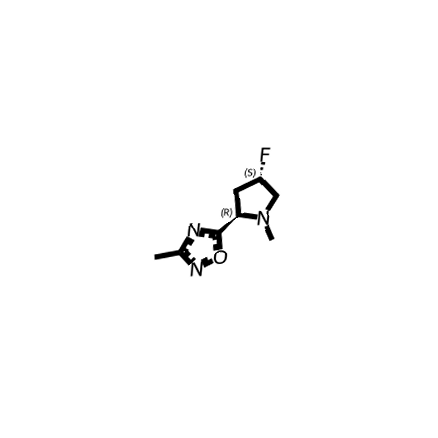 Cc1noc([C@H]2C[C@H](F)CN2C)n1